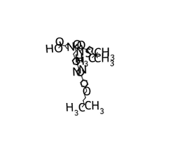 CC(C)CCCOc1ccc(-c2cnc(-c3ccc(CC(NC(=O)c4ccc(C(C)(C)C)s4)C(=O)N4CC(C(=O)O)C4)cc3)nc2)cc1